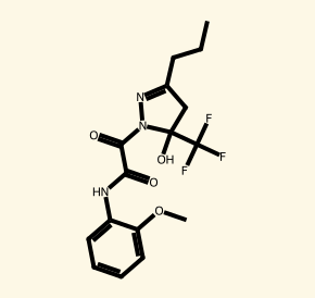 CCCC1=NN(C(=O)C(=O)Nc2ccccc2OC)C(O)(C(F)(F)F)C1